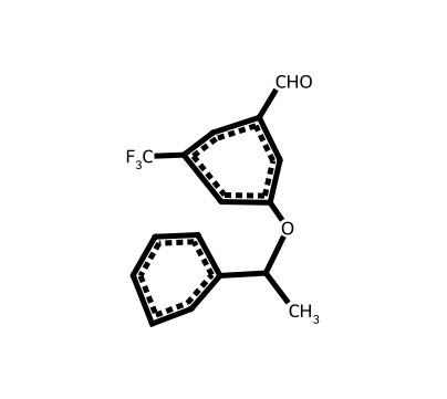 CC(Oc1cc(C=O)cc(C(F)(F)F)c1)c1ccccc1